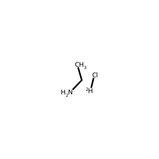 CCN.[2H]Cl